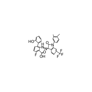 Cc1ccc(N2C(=O)C(=NNc3c(-c4ccccc4O)ccc(F)c3C(=O)O)c3ccc(C(F)(F)F)cc32)cc1C